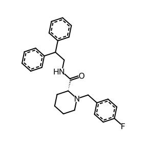 O=C(NCC(c1ccccc1)c1ccccc1)[C@H]1CCCCN1Cc1ccc(F)cc1